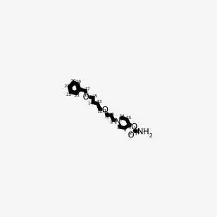 NC(=O)OC1CCN(CCCOCCCCOCc2ccccc2)CC1